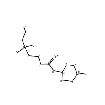 CCCC(C)(C)CCCC(=O)CC1CCN(C)CC1